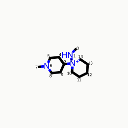 CN[N+]1(C2CCN(C)CC2)CCCCC1